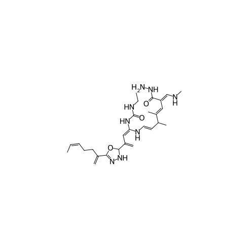 C=C(CC/C=C\C)C1=NNC(C(=C)/C=C(\N/C=C/C(C)/C(C)=C/C(=C\NC)C(=O)NN)NC(=O)NCC)O1